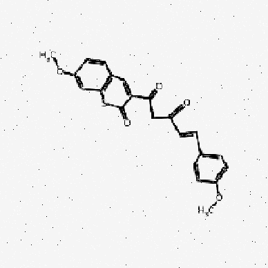 COc1ccc(C=CC(=O)CC(=O)c2cc3ccc(OC)cc3sc2=O)cc1